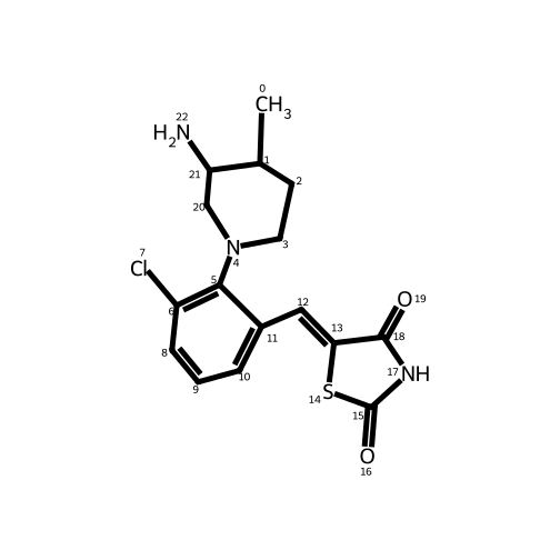 CC1CCN(c2c(Cl)cccc2/C=C2\SC(=O)NC2=O)CC1N